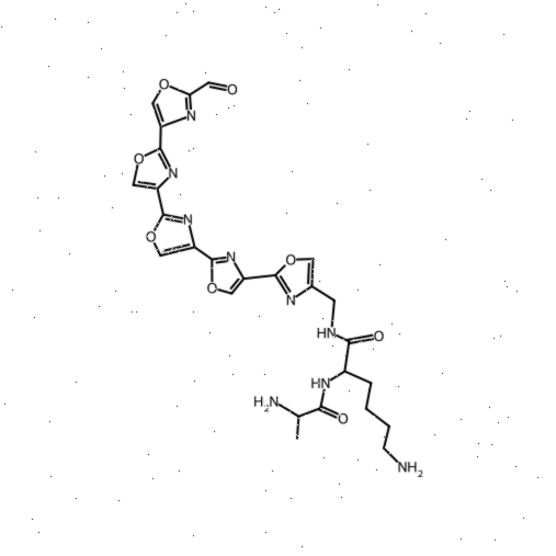 CC(N)C(=O)NC(CCCCN)C(=O)NCc1coc(-c2coc(-c3coc(-c4coc(-c5coc(C=O)n5)n4)n3)n2)n1